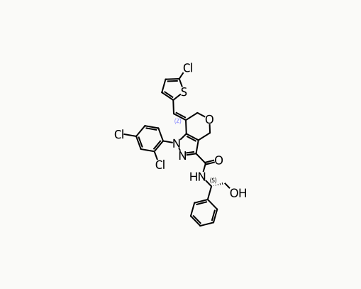 O=C(N[C@H](CO)c1ccccc1)c1nn(-c2ccc(Cl)cc2Cl)c2c1COC/C2=C\c1ccc(Cl)s1